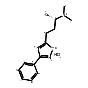 CN(C)[C@@H](S)CCc1nc(-c2ccccc2)no1.Cl